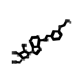 CCOc1cccc(CNc2ncnc3c2ncn3[C@@H]2O[C@H](CO)[C@@H](O)[C@H]2O)c1